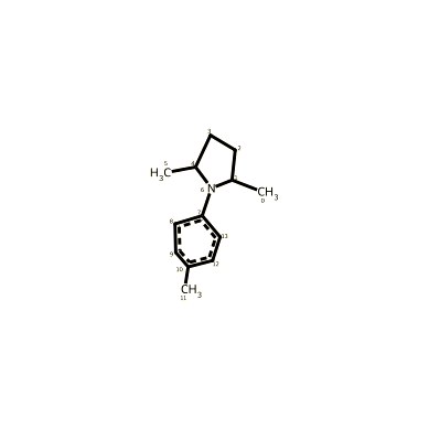 C[C]1CCC(C)N1c1ccc(C)cc1